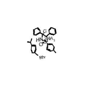 Cc1ccc(C(C)C)cc1.Cc1ccc(S(=O)(=O)N[C@@](Cl)(c2ccccc2)[C@@H](N)c2ccccc2)cc1.[Rh]